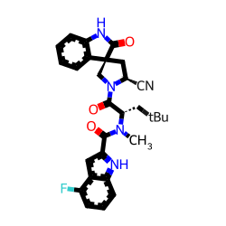 CN(C(=O)c1cc2c(F)cccc2[nH]1)[C@@H](CC(C)(C)C)C(=O)N1C[C@]2(C[C@H]1C#N)C(=O)Nc1ccccc12